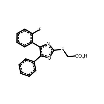 O=C(O)CSc1nc(-c2ccccc2F)c(-c2ccccc2)o1